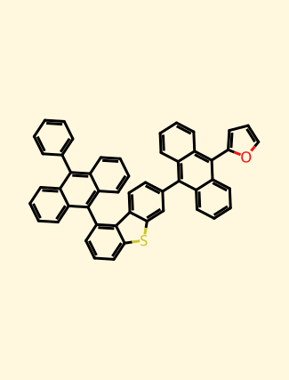 c1ccc(-c2c3ccccc3c(-c3cccc4sc5cc(-c6c7ccccc7c(-c7ccco7)c7ccccc67)ccc5c34)c3ccccc23)cc1